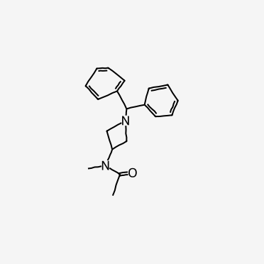 CC(=O)N(C)C1CN(C(c2ccccc2)c2ccccc2)C1